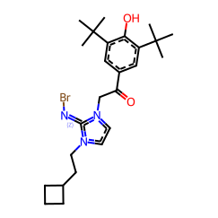 CC(C)(C)c1cc(C(=O)Cn2ccn(CCC3CCC3)/c2=N/Br)cc(C(C)(C)C)c1O